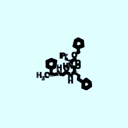 CC(C)C[C@@H](NC(=O)[C@@H](CCc1ccccc1)NC(=O)CNC[C@@H](C)c1ccccc1)C(=O)OCc1ccccc1